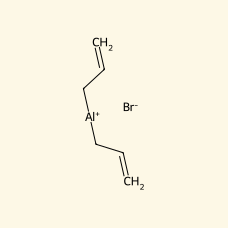 C=C[CH2][Al+][CH2]C=C.[Br-]